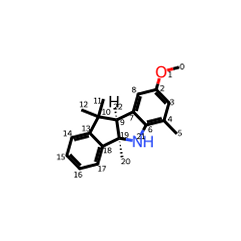 COc1cc(C)c2c(c1)[C@@H]1C(C)(C)c3ccccc3[C@]1(C)N2